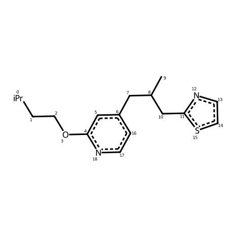 CC(C)CCOc1cc(CC(C)Cc2nccs2)ccn1